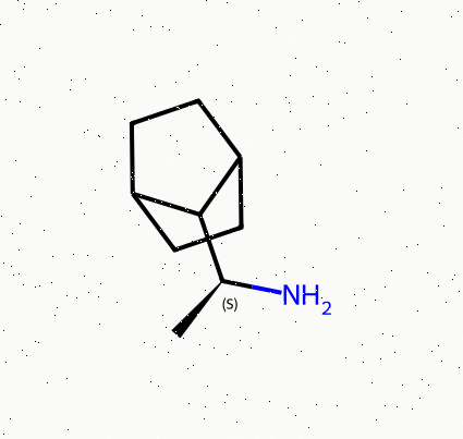 C[C@H](N)C1C2CCC1CC2